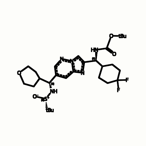 CC(C)(C)OC(=O)N[C@H](c1cn2ncc([C@H](N[S@@+]([O-])C(C)(C)C)C3CCOCC3)cc2n1)C1CCC(F)(F)CC1